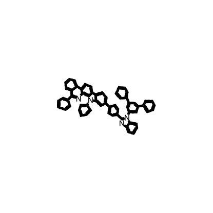 c1ccc(-c2cc(-c3ccccc3)cc(-n3c(-c4ccc(-c5ccc6c7ccc8c9ccccc9c(-c9ccccc9)nc8c7n(-c7ccccc7)c6c5)cc4)nc4ccccc43)c2)cc1